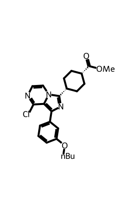 CCCCOc1cccc(-c2nc([C@H]3CC[C@@H](C(=O)OC)CC3)n3ccnc(Cl)c23)c1